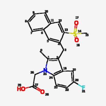 Cc1c(Cc2cc3ccccc3cc2S(C)(=O)=O)c2cc(F)ccc2n1CC(=O)O